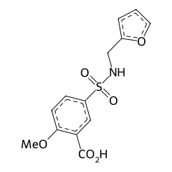 COc1ccc(S(=O)(=O)NCc2ccco2)cc1C(=O)O